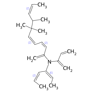 C=CC(=C)N(C(=C)/C=C\C=C/C(C)(C)C(C)/C=C\C)C(/C=C\C)=C/C